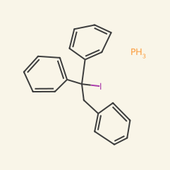 IC(Cc1ccccc1)(c1ccccc1)c1ccccc1.P